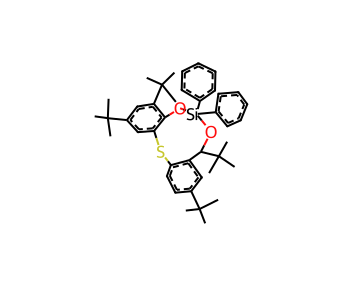 CC(C)(C)c1ccc2c(c1)C(C(C)(C)C)O[Si](c1ccccc1)(c1ccccc1)Oc1c(cc(C(C)(C)C)cc1C(C)(C)C)S2